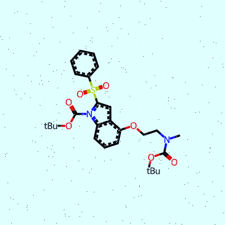 CN(CCOc1cccc2c1cc(S(=O)(=O)c1ccccc1)n2C(=O)OC(C)(C)C)C(=O)OC(C)(C)C